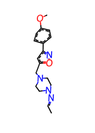 C/C=N/N1CCN(Cc2cc(-c3ccc(OC)cc3)no2)CC1